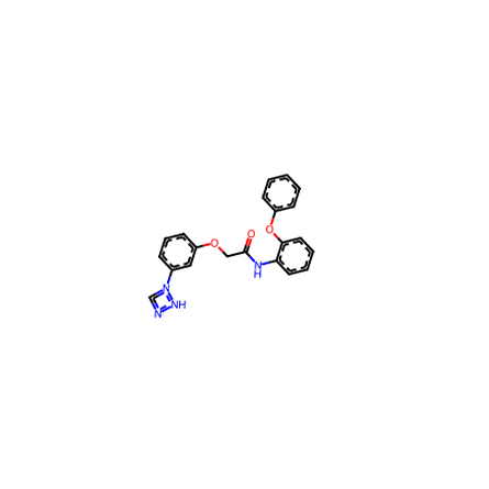 O=C(COc1cccc(-n2cn[nH]2)c1)Nc1ccccc1Oc1ccccc1